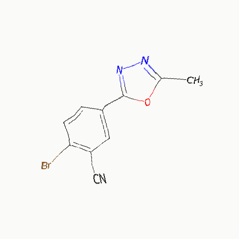 Cc1nnc(-c2ccc(Br)c(C#N)c2)o1